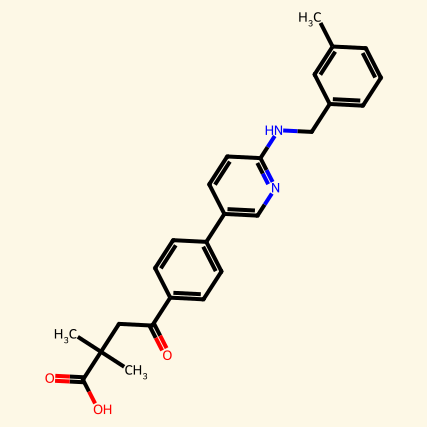 Cc1cccc(CNc2ccc(-c3ccc(C(=O)CC(C)(C)C(=O)O)cc3)cn2)c1